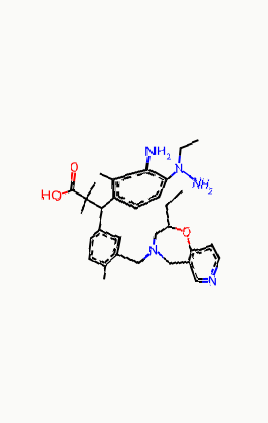 CCC1CN(Cc2cc(C(c3ccc(N(N)CC)c(N)c3C)C(C)(C)C(=O)O)ccc2C)Cc2cnccc2O1